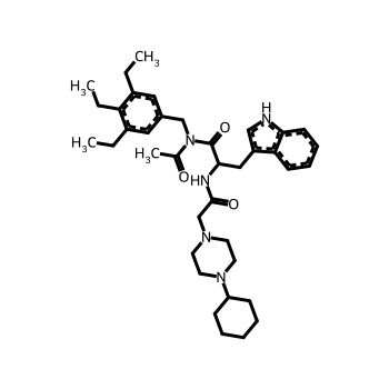 CCc1cc(CN(C(C)=O)C(=O)C(Cc2c[nH]c3ccccc23)NC(=O)CN2CCN(C3CCCCC3)CC2)cc(CC)c1CC